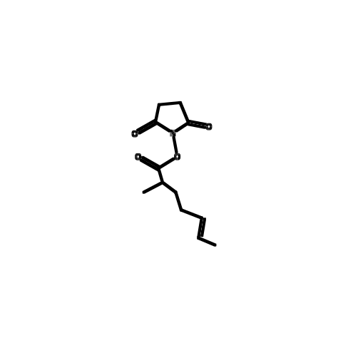 CC=CCCC(C)C(=O)ON1C(=O)CCC1=O